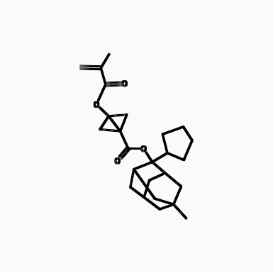 C=C(C)C(=O)OC12CC1(C(=O)OC1(C3CCCC3)C3CC4CC1CC(C)(C4)C3)C2